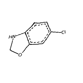 Clc1ccc2c(c1)OCN2